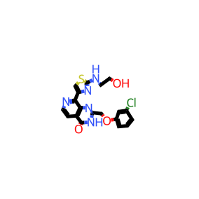 O=c1[nH]c(COc2cccc(Cl)c2)nc2c(-c3csc(NCCO)n3)nccc12